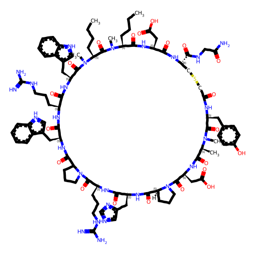 CCCC[C@H]1C(=O)N(C)[C@@H](CCCC)C(=O)N[C@@H](CC(=O)O)C(=O)N[C@H](C(=O)NCC(N)=O)CSCC(=O)N[C@@H](Cc2ccc(O)cc2)C(=O)N(C)[C@@H](C)C(=O)N[C@@H](CC(=O)O)C(=O)N2CCC[C@H]2C(=O)N[C@@H](Cc2c[nH]cn2)C(=O)N[C@@H](CCCNC(=N)N)C(=O)N2CCCC2C(=O)N[C@@H](Cc2c[nH]c3ccccc23)C(=O)N[C@@H](CCCNC(=N)N)C(=O)N[C@@H](Cc2c[nH]c3ccccc23)C(=O)N1C